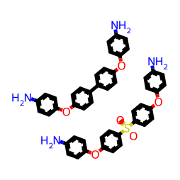 Nc1ccc(Oc2ccc(-c3ccc(Oc4ccc(N)cc4)cc3)cc2)cc1.Nc1ccc(Oc2ccc(S(=O)(=O)c3ccc(Oc4ccc(N)cc4)cc3)cc2)cc1